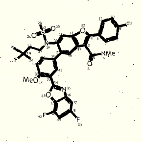 CNC(=O)c1c(-c2ccc(F)cc2)oc2cc(N(CCC(C)(C)F)S(C)(=O)=O)c(-c3ccc(OC)c(-c4nc5cc(F)cc(F)c5o4)c3)cc12